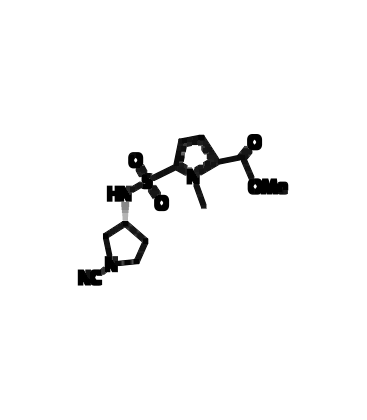 COC(=O)c1ccc(S(=O)(=O)N[C@@H]2CCN(C#N)C2)n1C